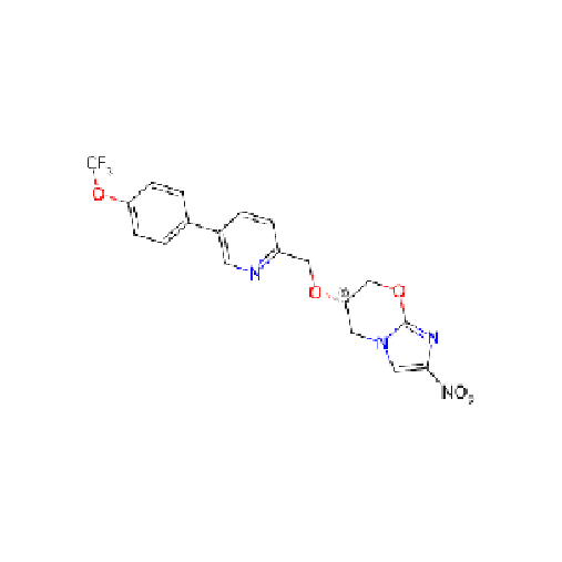 O=[N+]([O-])c1cn2c(n1)OC[C@@H](OCc1ccc(-c3ccc(OC(F)(F)F)cc3)cn1)C2